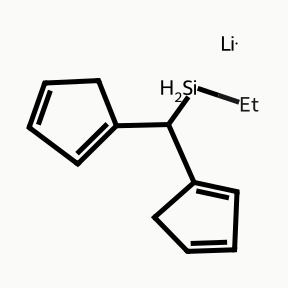 CC[SiH2]C(C1=CC=CC1)C1=CC=CC1.[Li]